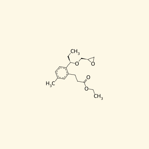 CCOC(=O)CCc1cc(C)ccc1[C@@H](CC)OC[C@H]1CO1